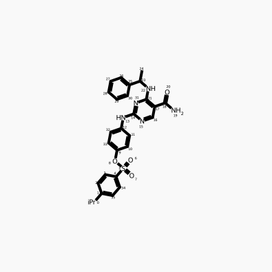 CC(C)c1ccc(S(=O)(=O)Oc2ccc(Nc3ncc(C(N)=O)c(NC(C)c4ccccc4)n3)cc2)cc1